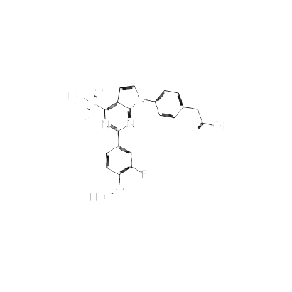 COc1ccc(-c2nc(S(C)(=O)=O)c3ccn(-c4ccc(CC(=O)O)cc4)c3n2)cc1F